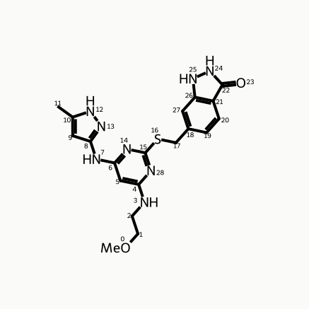 COCCNc1cc(Nc2cc(C)[nH]n2)nc(SCc2ccc3c(=O)[nH][nH]c3c2)n1